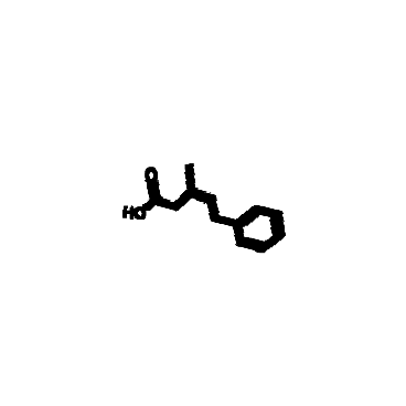 CC(CCc1ccccc1)CC(=O)O